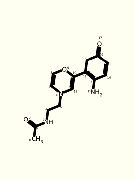 CC(=O)NCCN1C=COC(C2=C(N)C=CC(=O)C2)=C1